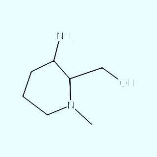 CN1CCCC(N)C1CO